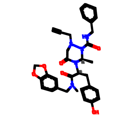 C#CCN1CC(=O)N([C@@H](Cc2ccc(O)cc2)C(=O)N(C)Cc2ccc3c(c2)OCO3)[C@H](C)N1C(=O)NCc1ccccc1